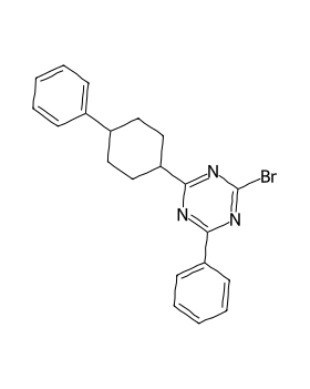 Brc1nc(-c2ccccc2)nc(C2CCC(c3ccccc3)CC2)n1